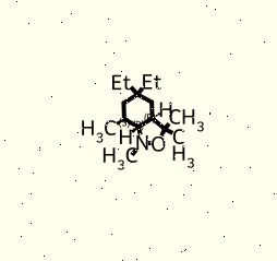 CCC1(CC)C[C@@H]2[C@@H]([C@@H](C)C1)N(C)OC2(C)C